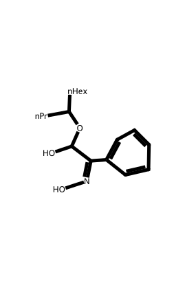 CCCCCCC(CCC)OC(O)C(=NO)c1ccccc1